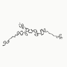 C=CC(=O)OCCCCCCOc1ccc(C(=O)Oc2ccc(OC(=O)c3ccc(OCCCCCCOC(=O)C(C)C)cc3)cc2/C=N/Cc2nc3c(o2)C(C)CC=C3)cc1